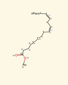 CCCCC/C=C\C/C=C\CCCCCCCC(=O)[O][Au]